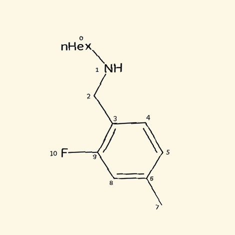 CCCCCCNCc1ccc(C)cc1F